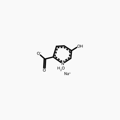 O.O=C([O-])c1ccc(O)cn1.[Na+]